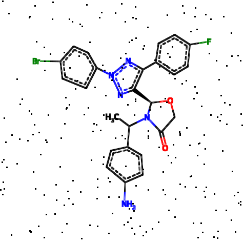 CC(c1ccc(N)cc1)N1C(=O)CO[C@@H]1c1nn(-c2ccc(Br)cc2)nc1-c1ccc(F)cc1